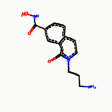 NCCCn1ccc2ccc(C(=O)NO)cc2c1=O